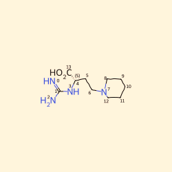 N=C(N)N[C@@H](CCN1CCCCC1)C(=O)O